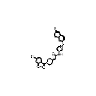 O=C(C=C1CCN(C(=O)c2ccc(Cl)cc2O)CC1)NC1CCN(Cc2ccc3cc(F)ccc3c2)C1